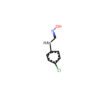 ON=C[AsH]c1ccc(Cl)cc1